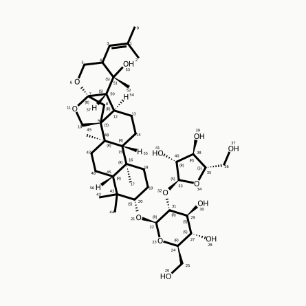 CC(C)=CC1CO[C@]23C[C@]4(CO2)[C@H](CC[C@@H]2[C@@]5(C)CC[C@H](O[C@@H]6O[C@H](CO)[C@@H](O)[C@H](O)[C@H]6O[C@@H]6O[C@@H](CO)[C@H](O)[C@H]6O)C(C)(C)[C@@H]5CC[C@]24C)[C@H]3[C@@]1(C)O